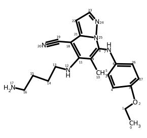 CCOc1ccc(Nc2c(C)c(NCCCCN)c(C#N)c3ccnn23)cc1